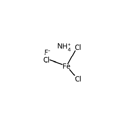 [Cl][Fe]([Cl])[Cl].[F-].[NH4+]